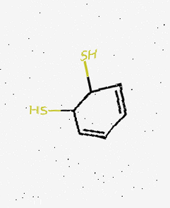 SC1C=CC=CC1S